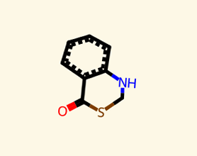 O=C1SCNc2ccccc21